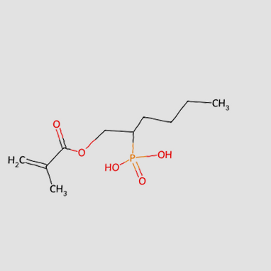 C=C(C)C(=O)OCC(CCCC)P(=O)(O)O